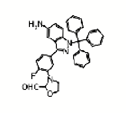 Nc1ccc2c(c1)c(-c1ccc(F)c(N3CCOC3C=O)c1)nn2C(c1ccccc1)(c1ccccc1)c1ccccc1